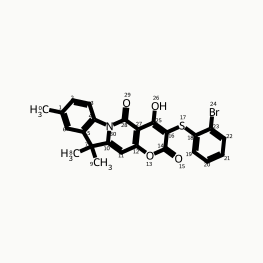 Cc1ccc2c(c1)C(C)(C)c1cc3oc(=O)c(Sc4ccccc4Br)c(O)c3c(=O)n1-2